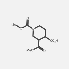 COC(=O)C1CN(C(=O)OC(C)(C)C)CCC1C(=O)O